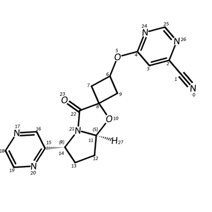 N#Cc1cc(OC2CC3(C2)O[C@H]2CC[C@H](c4cnccn4)N2C3=O)ncn1